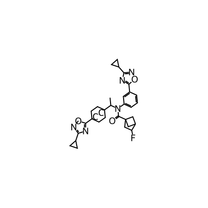 CC(N(C(=O)C12CC(F)C(C1)C2)c1cccc(-c2nc(C3CC3)no2)c1)C12CCC(c3nc(C4CC4)no3)(CC1)CC2